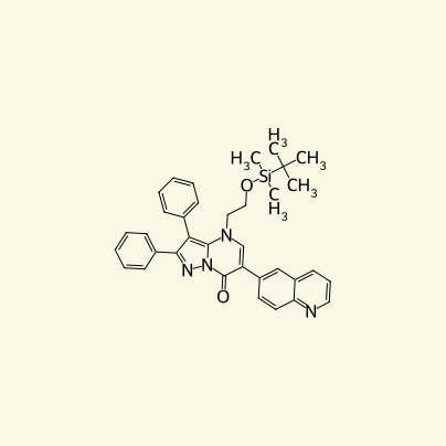 CC(C)(C)[Si](C)(C)OCCn1cc(-c2ccc3ncccc3c2)c(=O)n2nc(-c3ccccc3)c(-c3ccccc3)c12